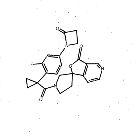 O=C1OC2(CCN(C(=O)C3(c4ccc(N5CCC5=O)cc4F)CC3)C2)c2ccncc21